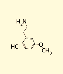 COc1cccc(CCN)c1.Cl